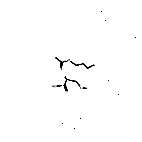 CCCCOC(C)=O.COCC(C)C(=O)O